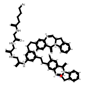 C=C(CCCCC(C)=O)NCC(=O)NCC(=C)NCC(=C)Nc1cc(CCc2cc3c(cc2C)C(=C)N2c4ccccc4CC2C=N3)cc(CCc2cc(/N=C\C)c(C(=C)N3CCc4ccccc43)cc2C)c1